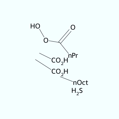 CC(=O)O.CC(=O)O.CCCC(=O)OO.CCCCCCCCC.S